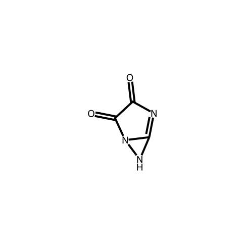 O=c1nc2[nH]n-2c1=O